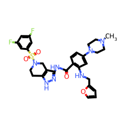 CN1CCN(c2ccc(C(=O)Nc3n[nH]c4c3CN(S(=O)(=O)c3cc(F)cc(F)c3)CC4)c(NCc3ccco3)c2)CC1